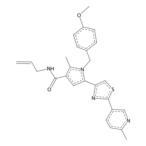 C=CCNC(=O)c1cc(-c2csc(-c3ccc(C)nc3)n2)n(Cc2ccc(OC)cc2)c1C